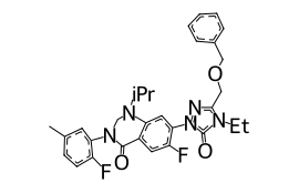 CCn1c(COCc2ccccc2)nn(-c2cc3c(cc2F)C(=O)N(c2cc(C)ccc2F)CN3C(C)C)c1=O